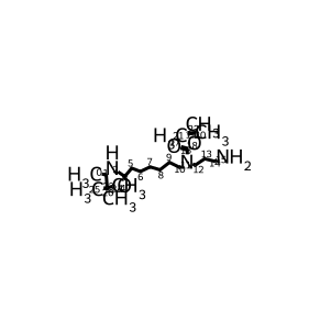 CC(NC(=O)CCCCCCN(CCCN)C(=O)OC(C)(C)C)C(C)(C)C